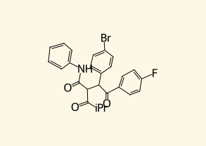 CC(C)C(=O)C(C(=O)Nc1ccccc1)C(C(=O)c1ccc(F)cc1)c1ccc(Br)cc1